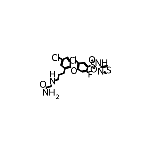 NC(=O)CNCCCc1cc(Cl)ccc1Oc1cc(F)c(S(=O)(=O)Nc2cscn2)cc1Cl